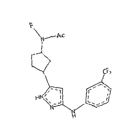 CC(=O)N(F)C1CCC(c2cc(Nc3cccc(C(F)(F)F)c3)n[nH]2)C1